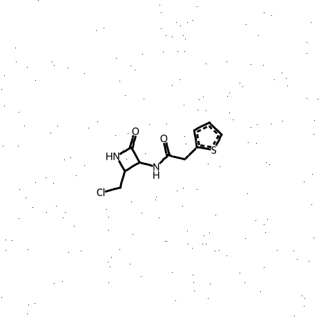 O=C(Cc1cccs1)NC1C(=O)NC1CCl